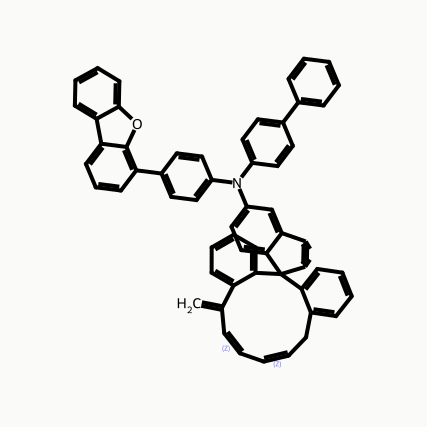 C=C1/C=C\C=C/Cc2ccccc2C2(c3ccccc31)c1ccccc1-c1cc(N(c3ccc(-c4ccccc4)cc3)c3ccc(-c4cccc5c4oc4ccccc45)cc3)ccc12